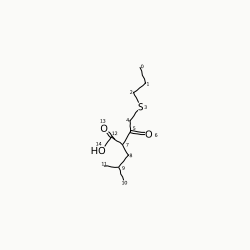 CCCSCC(=O)C(CC(C)C)C(=O)O